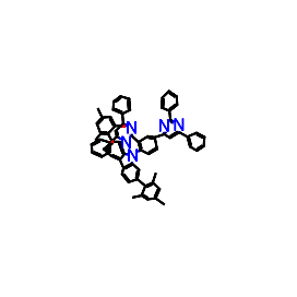 Cc1cc(C)c(-c2ccc3c4ccc(-c5c(C)cc(C)cc5C)cc4n(-c4ccc(-c5cc(-c6ccccc6)nc(-c6ccccc6)n5)cc4-c4nc(-c5ccccc5)cc(-c5ccccc5)n4)c3c2)c(C)c1